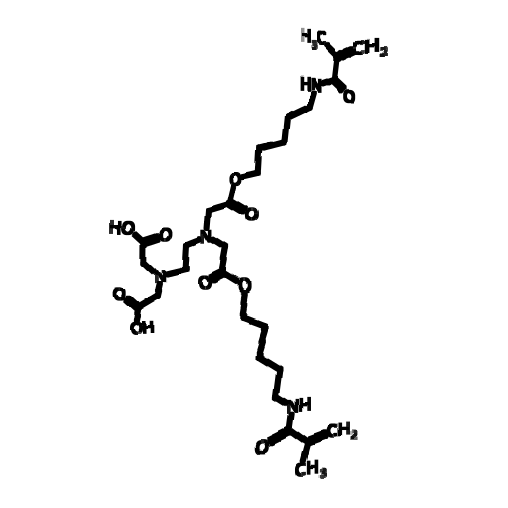 C=C(C)C(=O)NCCCCCOC(=O)CN(CCN(CC(=O)O)CC(=O)O)CC(=O)OCCCCCNC(=O)C(=C)C